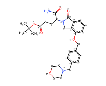 CC(C)(C)OC(=O)CCC(C(N)=O)N1Cc2c(OCc3ccc(CN4CCOCC4)cc3)cccc2C1=O